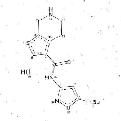 CC(C)(C)c1cc(NC(=O)c2csc3c2CCNC3)no1.Cl